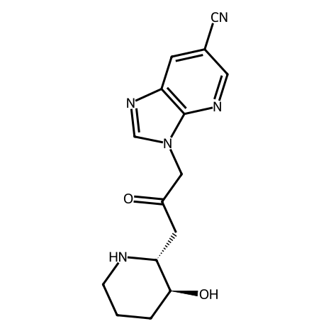 N#Cc1cnc2c(c1)ncn2CC(=O)C[C@H]1NCCC[C@@H]1O